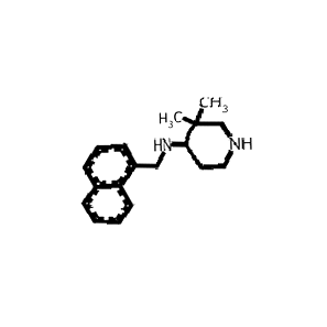 CC1(C)CNCCC1NCc1cccc2ccccc12